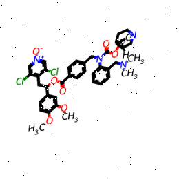 COc1ccc(C(Cc2c(Cl)c[n+]([O-])cc2Cl)OC(=O)c2ccc(CN(C(=O)O[C@H]3CN4CCC3CC4)c3ccccc3CN(C)C)cc2)cc1OC